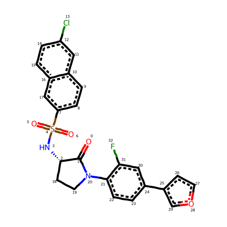 O=C1[C@@H](NS(=O)(=O)c2ccc3cc(Cl)ccc3c2)CCN1c1ccc(-c2ccoc2)cc1F